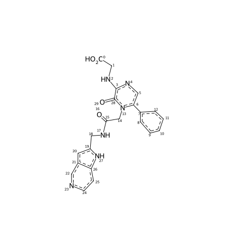 O=C(O)CNc1ncc(-c2ccccc2)n(CC(=O)NCc2cc3cnccc3[nH]2)c1=O